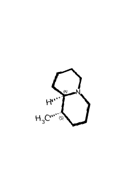 C[C@H]1CCCN2CCCC[C@H]12